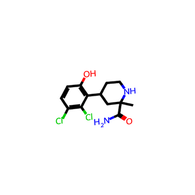 CC1(C(N)=O)CC(c2c(O)ccc(Cl)c2Cl)CCN1